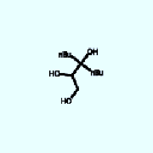 CCCCC(O)(CCCC)C(O)CO